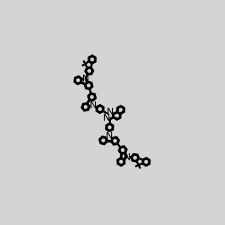 CC1(C)c2ccccc2-c2ccc(-n3c4ccccc4c4cc(-c5ccc6c(c5)c5ccccc5n6-c5ccc(-c6nc(-c7ccc(-n8c9ccccc9c9cc(-c%10ccc%11c(c%10)c%10ccccc%10n%11-c%10ccc%11c(c%10)C(C)(C)c%10ccccc%10-%11)ccc98)cc7)c7ccc8ccccc8c7n6)cc5)ccc43)cc21